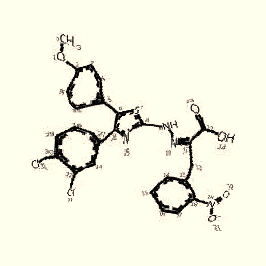 COc1ccc(-c2sc(N/N=C(/Cc3ccccc3[N+](=O)[O-])C(=O)O)nc2-c2ccc(Cl)c(Cl)c2)cc1